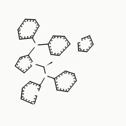 C[C@H]([c-]1cccc1P(c1ccccc1)c1ccccc1)P(c1ccccc1)c1ccccc1.[Fe+2].c1cc[cH-]c1